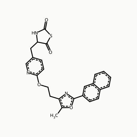 Cc1oc(-c2ccc3ccccc3c2)nc1CCOc1ccc(CC2NC(=O)SC2=O)cn1